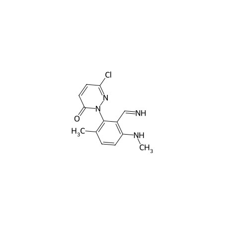 CNc1ccc(C)c(-n2nc(Cl)ccc2=O)c1C=N